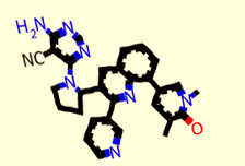 Cc1cc(-c2cccc3cc(C4CCCN4c4ncnc(N)c4C#N)c(-c4cccnc4)nc23)cn(C)c1=O